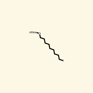 CCCCCCOCCCCCCCCCI